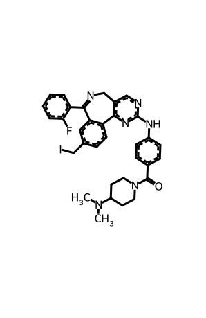 CN(C)C1CCN(C(=O)c2ccc(Nc3ncc4c(n3)-c3ccc(CI)cc3C(c3ccccc3F)=NC4)cc2)CC1